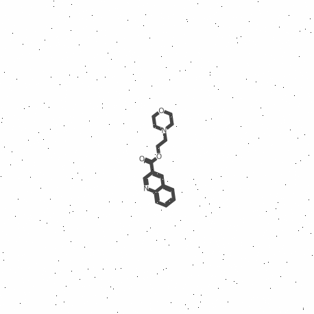 O=C(OCCN1CCOCC1)c1cnc2ccccc2c1